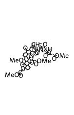 COC(=O)CCOC(=O)C1CN(C(=O)Cn2c(C)cc3c(=O)c4ccc5c(OC)c6c(=O)c7c(OCCC(=O)OC)cccc7c(=O)c6c(OCCC(=O)OC)c5c4c(=O)c3c2=O)C(C)C(=O)N1